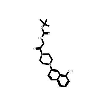 CC(C)(C)OC(=O)NCC(=O)N1CCN(c2ccc3cccc(O)c3c2)CC1